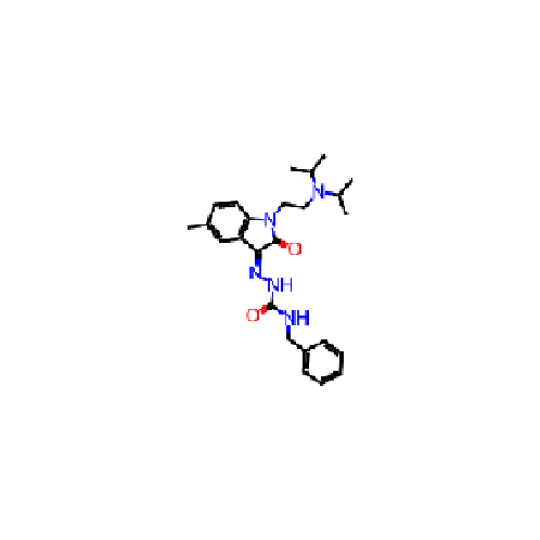 Cc1ccc2c(c1)C(=NNC(=O)NCc1ccccc1)C(=O)N2CCN(C(C)C)C(C)C